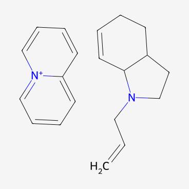 C=CCN1CCC2CCC=CC21.c1cc[n+]2ccccc2c1